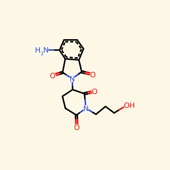 Nc1cccc2c1C(=O)N(C1CCC(=O)N(CCCO)C1=O)C2=O